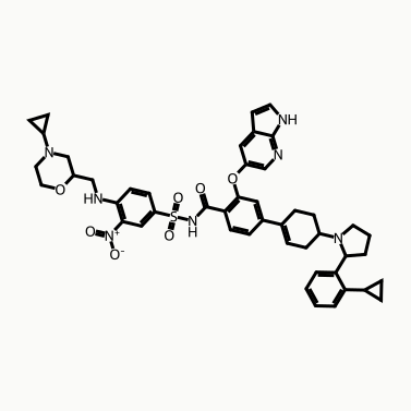 O=C(NS(=O)(=O)c1ccc(NCC2CN(C3CC3)CCO2)c([N+](=O)[O-])c1)c1ccc(C2=CCC(N3CCCC3c3ccccc3C3CC3)CC2)cc1Oc1cnc2[nH]ccc2c1